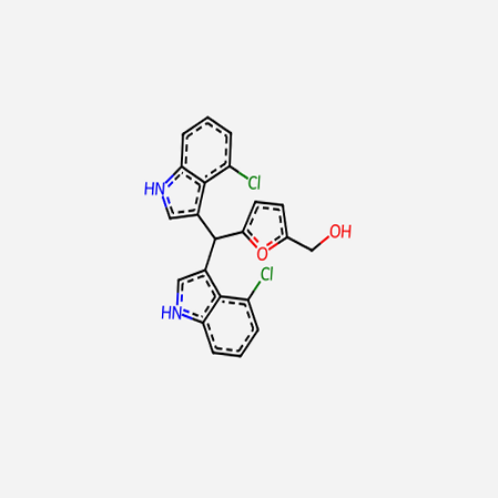 OCc1ccc(C(c2c[nH]c3cccc(Cl)c23)c2c[nH]c3cccc(Cl)c23)o1